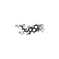 C[C@H](CCC(N)=O)[C@H]1CC=C2C3=C(CC[C@@]21C)[C@@]1(C)CC[C@H](O)C(C)(C)[C@@H]1CC3